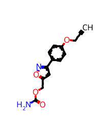 C#CCOc1ccc(-c2cc(COC(N)=O)on2)cc1